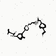 Cc1ccc(NC(=O)C(C)C)cc1C1CCN(CCCNC(=O)[C@H](C)c2ccc(CI)cc2)CC1